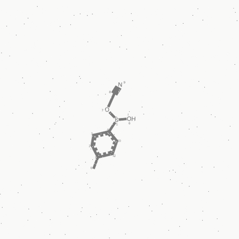 Cc1ccc(B(O)OC#N)cc1